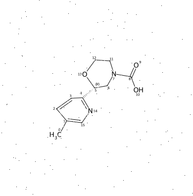 Cc1ccc([C@H]2CN(C(=O)O)CCO2)nc1